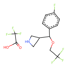 Fc1ccc(C(OCC(F)(F)F)C2CNC2)cc1.O=C(O)C(F)(F)F